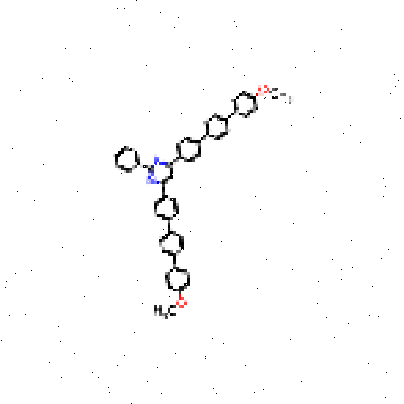 COc1ccc(-c2ccc(-c3ccc(-c4cc(-c5ccc(-c6ccc(-c7ccc(OC)cc7)cc6)cc5)nc(-c5ccccc5)n4)cc3)cc2)cc1